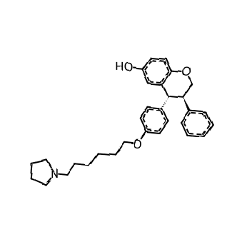 Oc1ccc2c(c1)[C@@H](c1ccc(OCCCCCCN3CCCC3)cc1)[C@H](c1ccccc1)CO2